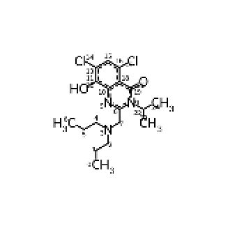 CCCN(CCC)Cc1nc2c(O)c(Cl)cc(Cl)c2c(=O)n1C(C)C